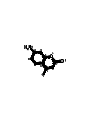 [CH2]c1cc(=O)oc2cc(N)ccc12